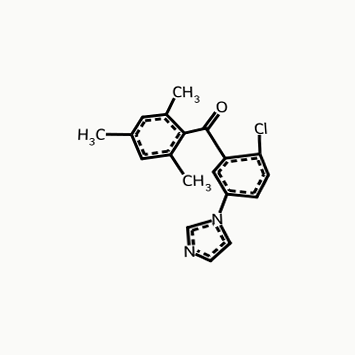 Cc1cc(C)c(C(=O)c2cc(-n3ccnc3)ccc2Cl)c(C)c1